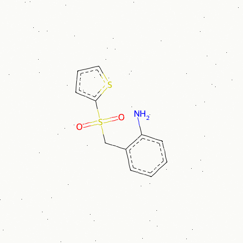 Nc1ccccc1CS(=O)(=O)c1cccs1